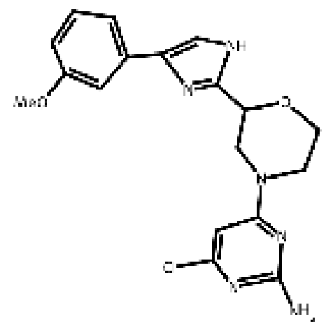 COc1cccc(-c2c[nH]c(C3CN(c4cc(Cl)nc(N)n4)CCO3)n2)c1